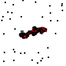 C=C(CCC1=C(CN2CCN(c3ccc(C(=O)NS(=O)(=O)c4ccc(N[C@H](CCN5CCN(CCCC(=O)Nc6cccc7c6C(=O)N(C6CCC(=O)NC6=O)C7=O)CC5)CSc5ccccc5)c(S(=O)(=O)C(F)(F)F)c4)cc3)CC2)CCC(C)(C)C1)C(F)F